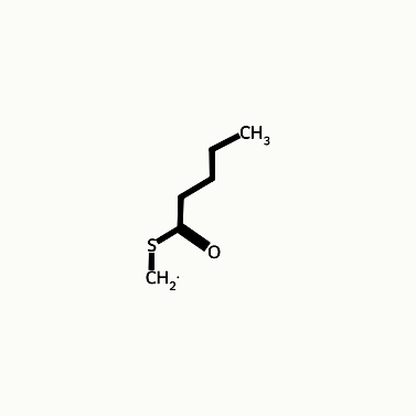 [CH2]SC(=O)CCCC